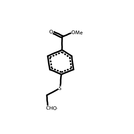 COC(=O)c1ccc(SC[C]=O)cc1